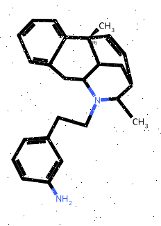 CC1C2C=C[C@@]3(C)c4ccccc4CC(C3C2)N1CCc1cccc(N)c1